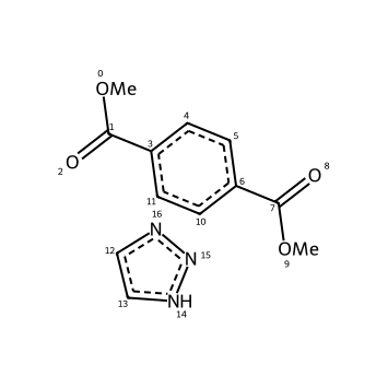 COC(=O)c1ccc(C(=O)OC)cc1.c1c[nH]nn1